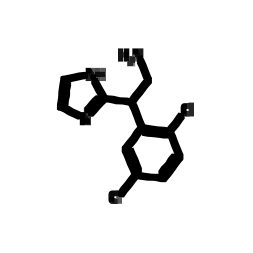 NCC(c1ncc[nH]1)c1cc(Cl)ccc1Cl